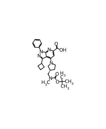 CN(C[C@@H]1CCN(c2cc(C(=O)O)nc3c2c(C2CCC2)nn3-c2ccccc2)C1)C(=O)OC(C)(C)C